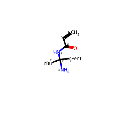 C=CC(=O)NC(N)(CCCC)CCCCC